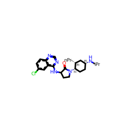 CCC[C@@H]1C[C@H](NC(C)C)CC[C@@H]1N1CCC(Nc2ncnc3ccc(Cl)cc23)C1=O